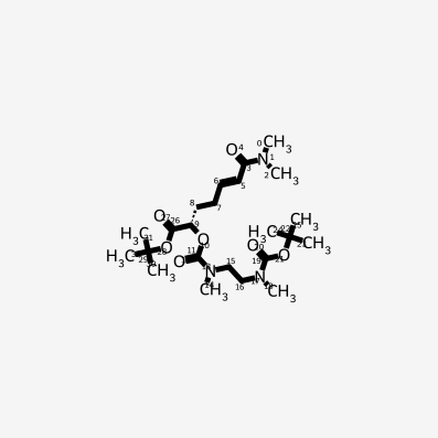 CN(C)C(=O)/C=C/CC[C@H](OC(=O)N(C)CCN(C)C(=O)OC(C)(C)C)C(=O)OC(C)(C)C